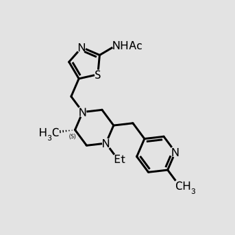 CCN1C[C@H](C)N(Cc2cnc(NC(C)=O)s2)CC1Cc1ccc(C)nc1